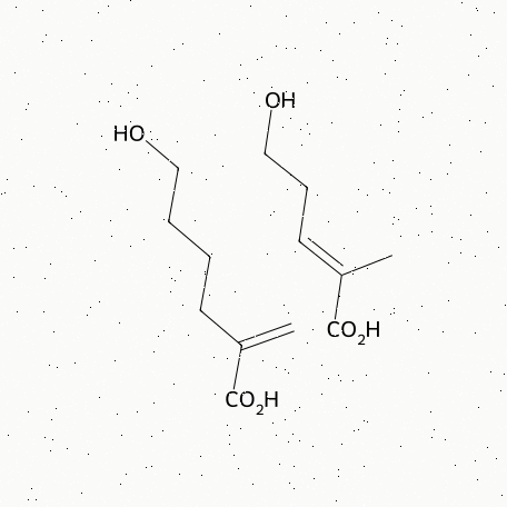 C=C(CCCCO)C(=O)O.CC(=CCCO)C(=O)O